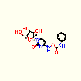 O=C(Nc1ccccc1)ONc1ccn([C@@H]2O[C@H](CO)[C@@H](O)[C@H]2O)c(=O)n1